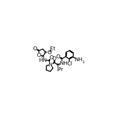 CCO[C@H]1CC(=O)O[C@H]1NC(=O)[N+]1(C(=O)[C@@H](NC(=O)c2cccc(N)c2Cl)C(C)C)CCCC1